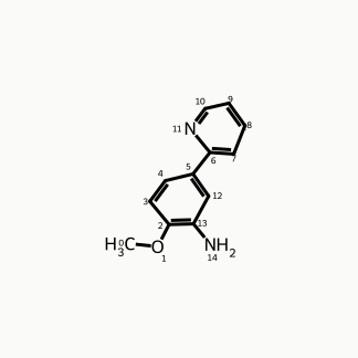 COc1ccc(-c2c[c]ccn2)cc1N